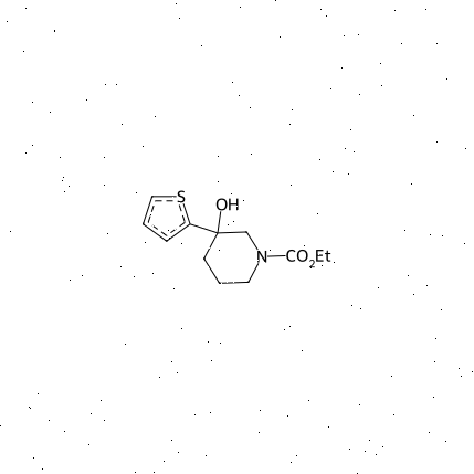 CCOC(=O)N1CCCC(O)(c2cccs2)C1